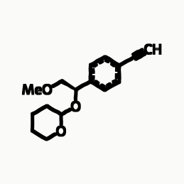 C#Cc1ccc([C@H](COC)OC2CCCCO2)cc1